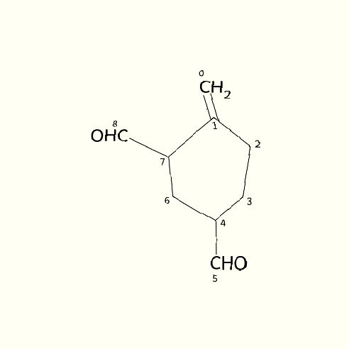 C=C1CCC(C=O)CC1C=O